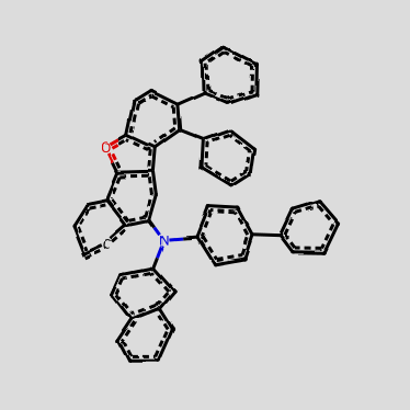 c1ccc(-c2ccc(N(c3ccc4ccccc4c3)c3cc4c(oc5ccc(-c6ccccc6)c(-c6ccccc6)c54)c4ccccc34)cc2)cc1